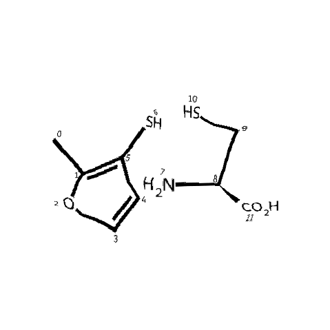 Cc1occc1S.N[C@@H](CS)C(=O)O